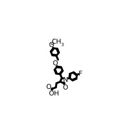 COc1ccc(COc2ccc(C3C(CCC(=O)O)C(=O)N3c3ccc(F)cc3)cc2)cc1